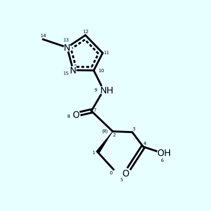 CC[C@H](CC(=O)O)C(=O)Nc1ccn(C)n1